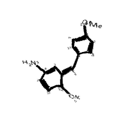 COc1ccc(C=C2C=C(N)C=CC2OC(C)=O)cc1